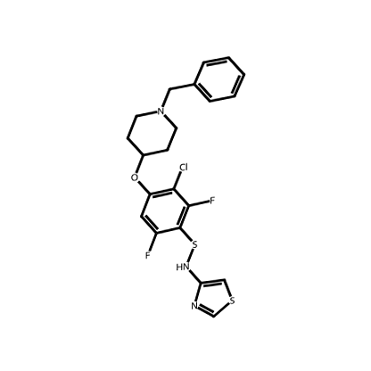 Fc1cc(OC2CCN(Cc3ccccc3)CC2)c(Cl)c(F)c1SNc1cscn1